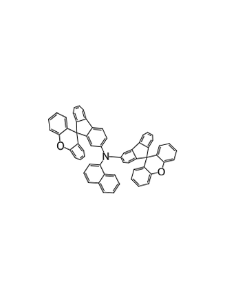 c1ccc2c(c1)Oc1ccccc1C21c2ccccc2-c2cc(N(c3ccc4c(c3)C3(c5ccccc5Oc5ccccc53)c3ccccc3-4)c3cccc4ccccc34)ccc21